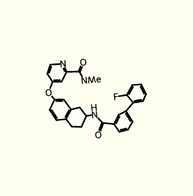 CNC(=O)c1cc(Oc2ccc3c(c2)CC(NC(=O)c2cccc(-c4ccccc4F)c2)CC3)ccn1